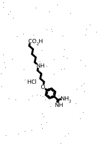 Cl.N=C(N)c1ccc(OCCCCNCCCCCC(=O)O)cc1